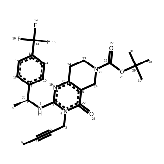 CC#CCn1c(N[C@@H](C)c2ccc(C(F)(F)F)cc2)nc2c(c1=O)CN(C(=O)OC(C)(C)C)CC2